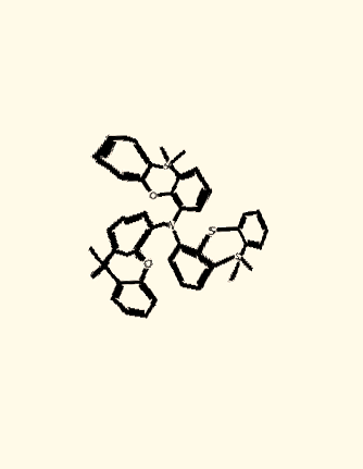 CC1(C)c2ccccc2Oc2c(N(c3cccc4c3Oc3ccccc3[Si]4(C)C)c3cccc4c3Sc3ccccc3[Si]4(C)C)cccc21